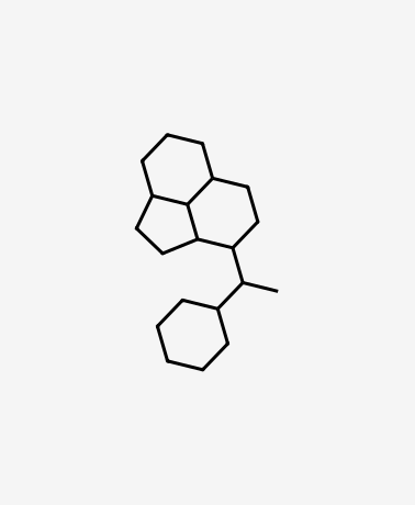 CC(C1CCCCC1)C1CCC2CCCC3CCC1C23